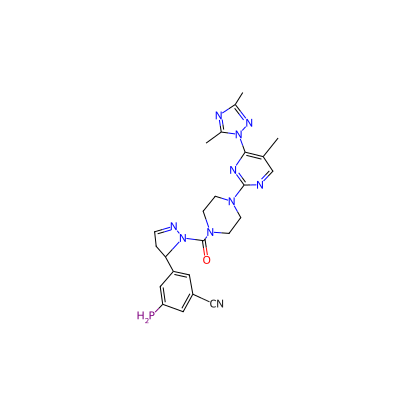 Cc1nc(C)n(-c2nc(N3CCN(C(=O)N4N=CCC4c4cc(P)cc(C#N)c4)CC3)ncc2C)n1